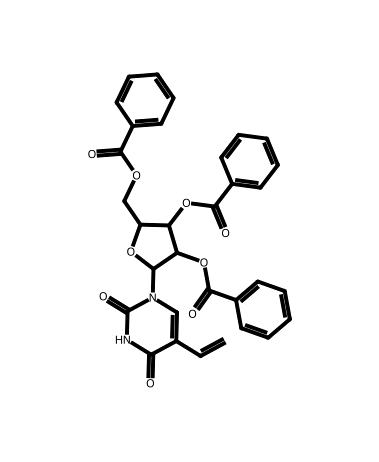 C=Cc1cn(C2OC(COC(=O)c3ccccc3)C(OC(=O)c3ccccc3)C2OC(=O)c2ccccc2)c(=O)[nH]c1=O